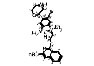 CCCCc1cc2ccccc2c(OCC[N+](C)(C)c2cc(Br)c([C@H]3CNCCO3)cc2N)n1